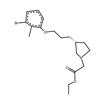 CCOC(=O)CN1CC[C@@H](CCCOc2cccc(Br)c2C)C1